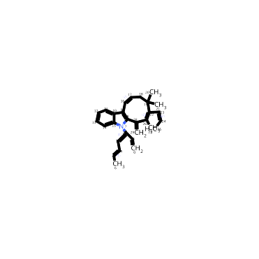 C=C/C(=C\C=C\C)n1c2c(c3ccccc31)/C=C\CC(C)(C)C(/C=C\C)=C(/C)C2=C